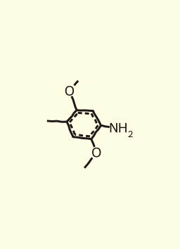 COc1cc(N)c(OC)cc1C